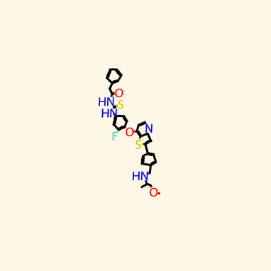 COCC(C)NCc1ccc(-c2cc3nccc(Oc4ccc(NC(=S)NC(=O)Cc5ccccc5)cc4F)c3s2)cc1